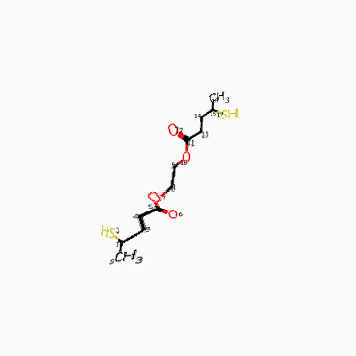 CC(S)CCC(=O)OCCOC(=O)CCC(C)S